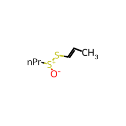 CC=CS[S+]([O-])CCC